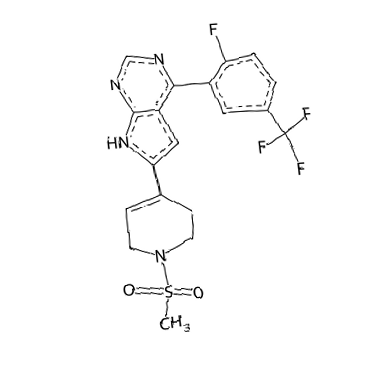 CS(=O)(=O)N1CC=C(c2cc3c(-c4cc(C(F)(F)F)ccc4F)ncnc3[nH]2)CC1